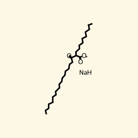 CCCCCCCCCCCCCCCCCC(=O)C(CCCCCCCCCC)C(=O)OC.[NaH]